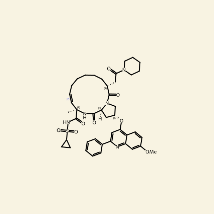 COc1ccc2c(O[C@@H]3C[C@H]4C(=O)N[C@@](C)(C(=O)NS(=O)(=O)C5CC5)/C=C\CCCCC[C@H](CC(=O)N5CCCCC5)C(=O)N4C3)cc(-c3ccccc3)nc2c1